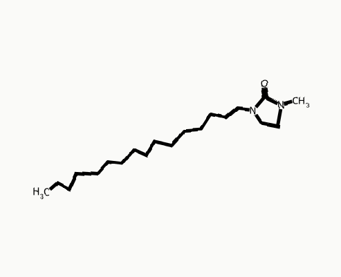 CCCCCCCCCCCCCCCCN1CCN(C)C1=O